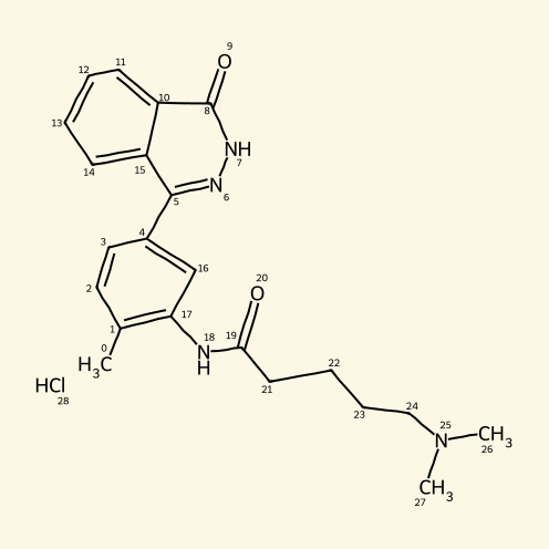 Cc1ccc(-c2n[nH]c(=O)c3ccccc23)cc1NC(=O)CCCCN(C)C.Cl